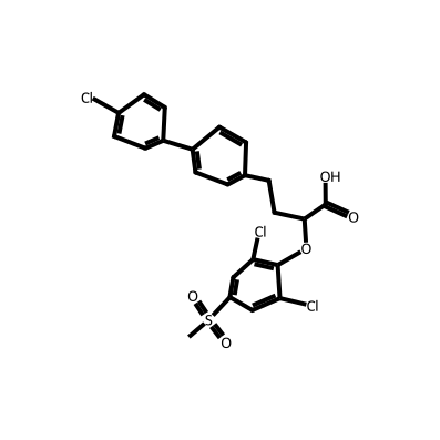 CS(=O)(=O)c1cc(Cl)c(OC(CCc2ccc(-c3ccc(Cl)cc3)cc2)C(=O)O)c(Cl)c1